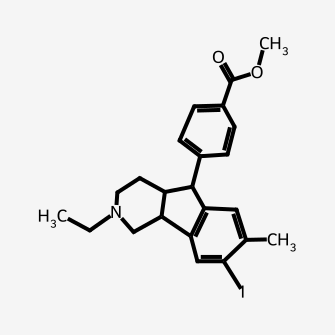 CCN1CCC2C(C1)c1cc(I)c(C)cc1C2c1ccc(C(=O)OC)cc1